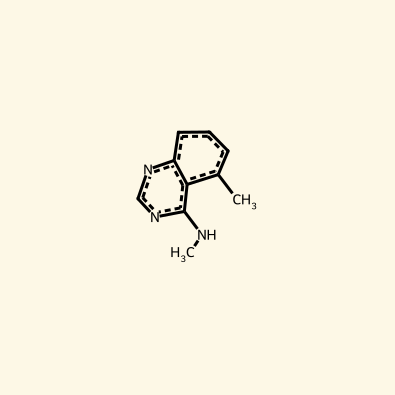 CNc1ncnc2cccc(C)c12